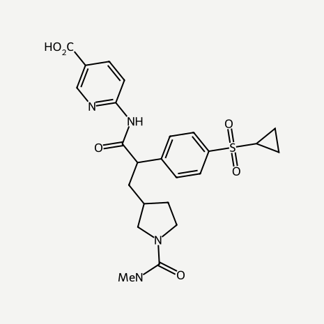 CNC(=O)N1CCC(CC(C(=O)Nc2ccc(C(=O)O)cn2)c2ccc(S(=O)(=O)C3CC3)cc2)C1